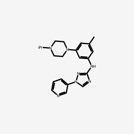 Cc1cc(Nc2ncn(-c3cccnc3)n2)cc(N2CCN(C(C)C)CC2)c1